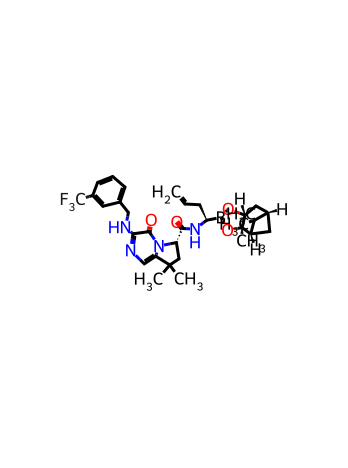 C=CC[C@H](NC(=O)[C@@H]1CC(C)(C)c2cnc(NCc3cccc(C(F)(F)F)c3)c(=O)n21)B1O[C@@H]2C[C@@H]3C[C@@H](C3(C)C)[C@]2(C)O1